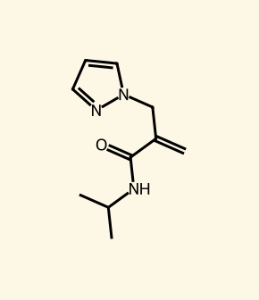 C=C(Cn1cccn1)C(=O)NC(C)C